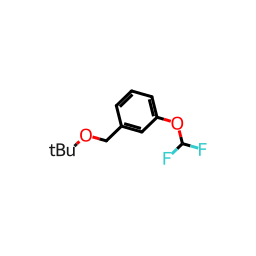 CC(C)(C)OCc1cccc(OC(F)F)c1